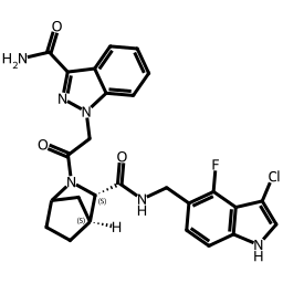 NC(=O)c1nn(CC(=O)N2C3CC[C@@H](C3)[C@H]2C(=O)NCc2ccc3[nH]cc(Cl)c3c2F)c2ccccc12